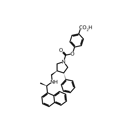 C[C@@H](NC[C@H]1CN(C(=O)Oc2ccc(C(=O)O)cc2)C[C@@H]1c1ccccc1)c1cccc2ccccc12